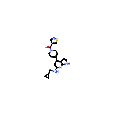 O=C(Nc1cc(C2=CCN(C(=O)c3cnsc3)CC2)c2cc[nH]c2n1)C1CC1